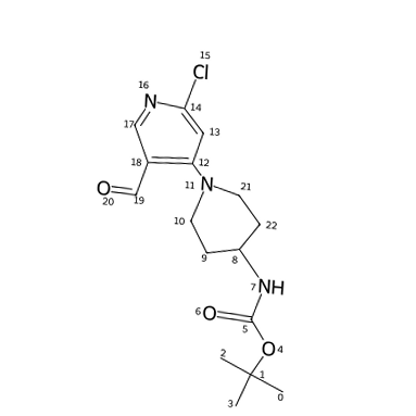 CC(C)(C)OC(=O)NC1CCN(c2cc(Cl)ncc2C=O)CC1